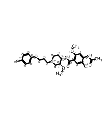 COc1cc(NC(C)=O)c(Cl)cc1C(=O)N[C@H]1CCN(CCCOc2ccc(F)cc2)C[C@H]1OC